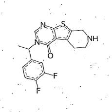 CC(c1ccc(F)c(F)c1)n1cnc2sc3c(c2c1=O)CCNC3